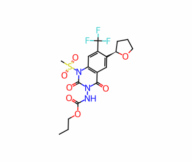 CCCOC(=O)Nn1c(=O)c2cc([C@H]3CCCO3)c(C(F)(F)F)cc2n(S(C)(=O)=O)c1=O